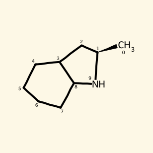 C[C@@H]1CC2CCCCC2N1